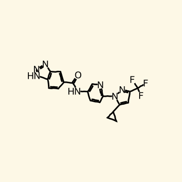 O=C(Nc1ccc(-n2nc(C(F)(F)F)cc2C2CC2)nc1)c1ccc2[nH]nnc2c1